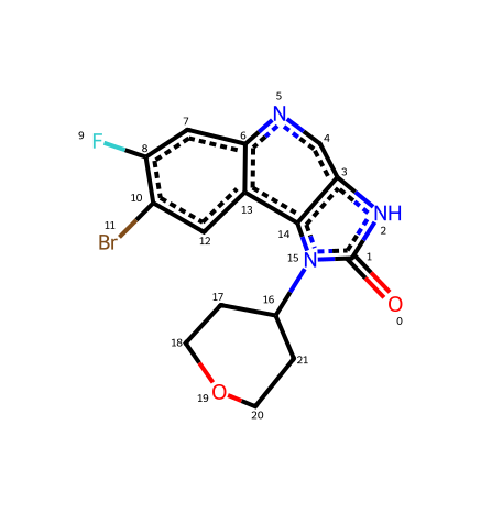 O=c1[nH]c2cnc3cc(F)c(Br)cc3c2n1C1CCOCC1